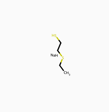 CCSCCS.[NaH]